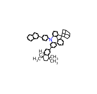 CC1(C)CCC(C)(C)c2cc(-c3cccc(N(c4ccc(-c5ccc6ccccc6c5)cc4)c4cccc5c4-c4ccccc4C54C5CC6CC7CC4C75C6)c3)ccc21